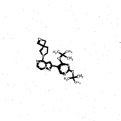 CC(C)(C)Oc1ncc(-c2cc3c(N4CCC5(COC5)C4)nccn3n2)c(OC(C)(C)C)n1